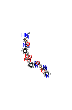 CN/N=C(\C)SCc1nc(-c2cccc(COC(=O)C(=O)OCc3cccc(-c4noc(CSc5nnc(-c6ccncc6)o5)n4)c3)c2)no1